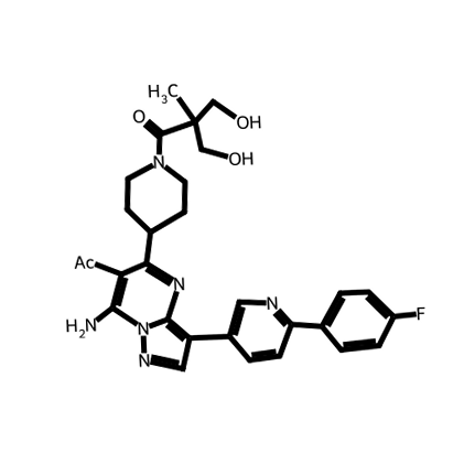 CC(=O)c1c(C2CCN(C(=O)C(C)(CO)CO)CC2)nc2c(-c3ccc(-c4ccc(F)cc4)nc3)cnn2c1N